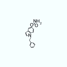 NC(=O)Oc1ccc2c(ccn2CCc2ccccc2)c1